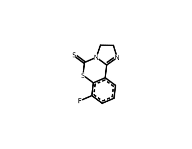 Fc1cccc2c1SC(=S)N1CCN=C21